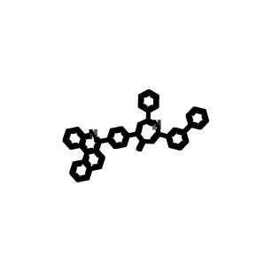 C=C1C=C(c2cccc(-c3ccccc3)c2)N=C(c2ccccc2)C=C1c1ccc(-c2nc3ccccc3c3c2ccc2ccccc23)cc1